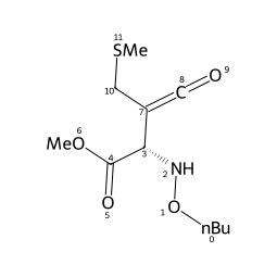 CCCCON[C@H](C(=O)OC)C(=C=O)CSC